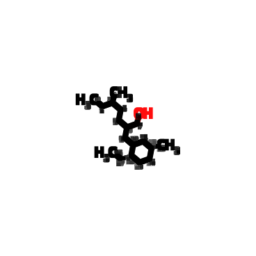 CCC(C)CCC(CO)CC1C[C@H](C)CC[C@@H]1CC